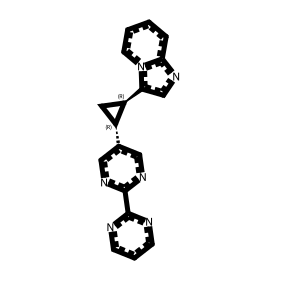 c1cnc(-c2ncc([C@@H]3C[C@H]3c3cnc4ccccn34)cn2)nc1